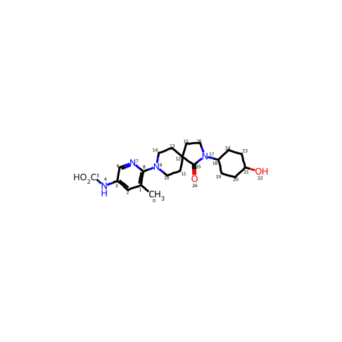 Cc1cc(NC(=O)O)cnc1N1CCC2(CC1)CCN(C1CCC(O)CC1)C2=O